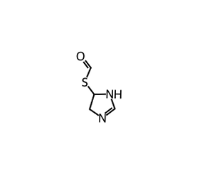 O=CSC1CN=CN1